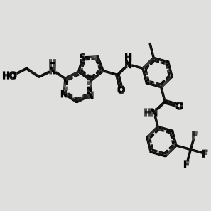 Cc1ccc(C(=O)Nc2cccc(C(F)(F)F)c2)cc1NC(=O)c1csc2c(NCCO)ncnc12